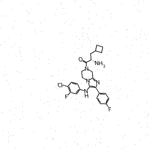 N[C@@H](CC1CCC1)C(=O)N1CCn2c(nc(-c3ccc(F)cc3)c2Nc2ccc(Cl)c(F)c2)C1